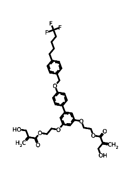 C=C(CO)C(=O)OCCOc1cc(OCCOC(=O)C(=C)CO)cc(-c2ccc(OCc3ccc(CCCCC(F)(F)F)cc3)cc2)c1